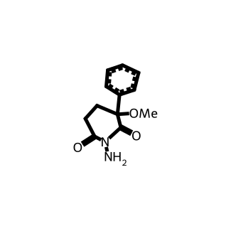 COC1(c2ccccc2)CCC(=O)N(N)C1=O